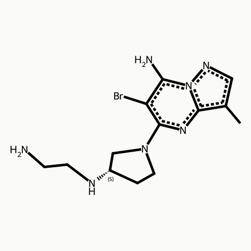 Cc1cnn2c(N)c(Br)c(N3CC[C@H](NCCN)C3)nc12